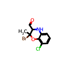 CC1(Br)Oc2c(Cl)cccc2NC1C=O